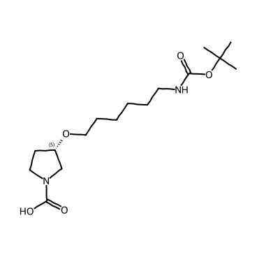 CC(C)(C)OC(=O)NCCCCCCO[C@H]1CCN(C(=O)O)C1